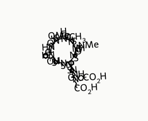 CNC(=O)C[C@@H]1NC(=O)c2csc(n2)-c2ccc(-c3nc(NC(=O)N(CCCC(=O)O)[C@H]4CC[C@H](C(=O)O)CC4)cs3)nc2-c2csc(n2)-c2csc(n2)[C@H]([C@@H](O)c2ccccc2)NC(=O)CNC(=O)c2nc(sc2COC)[C@H](C(C)C)NC(=O)c2nc1sc2C